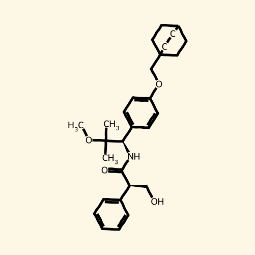 COC(C)(C)[C@H](NC(=O)[C@@H](CO)c1ccccc1)c1ccc(OCC23CCC(CC2)CC3)cc1